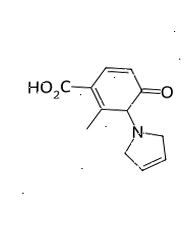 CC1=C(C(=O)O)C=CC(=O)C1N1CC=CC1